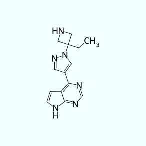 CCC1(n2cc(-c3ncnc4[nH]ccc34)cn2)CNC1